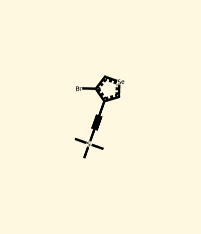 C[Si](C)(C)C#Cc1c[se]cc1Br